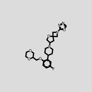 Fc1ccc(OCC2COCCO2)c(C2CCN(C3COC4(C3)CN(c3nnco3)C4)CC2)c1